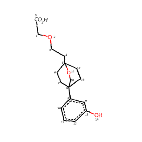 O=C(O)COCCC12CCC(c3cccc(O)c3)(CC1)CO2